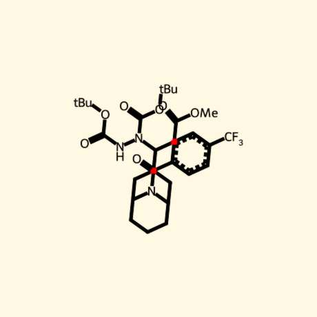 COC(=O)CC(C1CC2CCCC(C1)N2C(=O)c1ccc(C(F)(F)F)cc1)N(NC(=O)OC(C)(C)C)C(=O)OC(C)(C)C